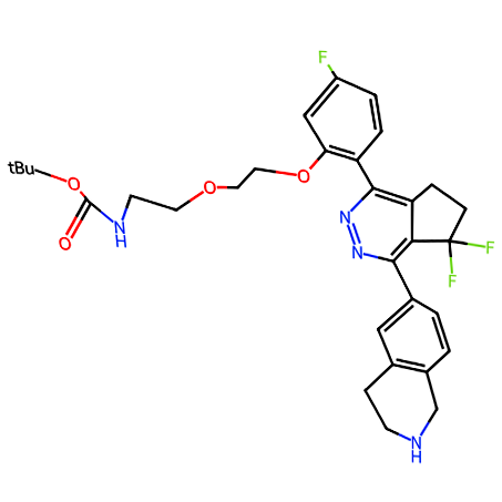 CC(C)(C)OC(=O)NCCOCCOc1cc(F)ccc1-c1nnc(-c2ccc3c(c2)CCNC3)c2c1CCC2(F)F